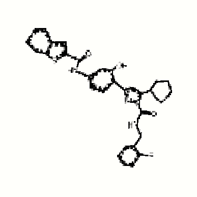 O=C(Nc1ccc(-c2cc(C3CCCC3)n(C(=O)NCc3ccccc3F)n2)c(O)c1)c1cc2ccccc2s1